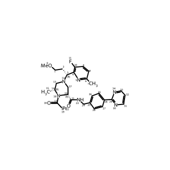 COCC[C@H](c1nc(C)ccc1F)N1C[C@@H](C)N(C(=O)C(C)C)[C@@H](C(=O)NCc2ccc(-c3ncccn3)cc2)C1